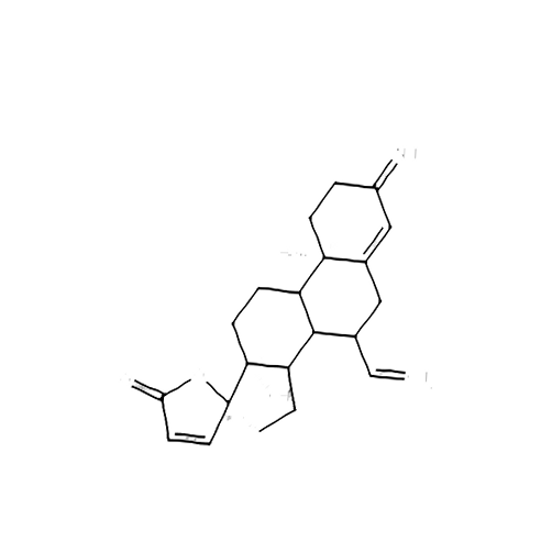 C=CC1CC2=CC(=N)CC[C@@H]2C2CC[C@@]3(C)C(CC[C@@]34C=CC(=O)O4)C12